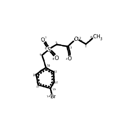 CCOC(=O)CS(=O)(=O)Cc1ccc(Br)cc1